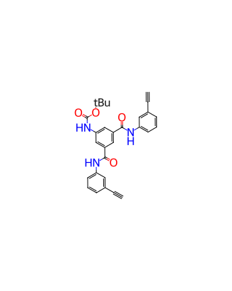 C#Cc1cccc(NC(=O)c2cc(NC(=O)OC(C)(C)C)cc(C(=O)Nc3cccc(C#C)c3)c2)c1